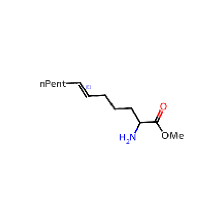 CCCCC/C=C/CCCC(N)C(=O)OC